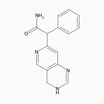 NC(=O)C(c1ccccc1)c1cc2c(cn1)CNC=N2